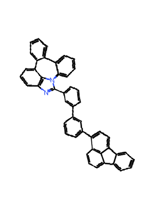 c1cc(-c2cccc(-c3nc4cccc5c4n3-c3ccccc3-c3ccccc3-5)c2)cc(-c2ccc3c4c(cccc24)-c2ccccc2-3)c1